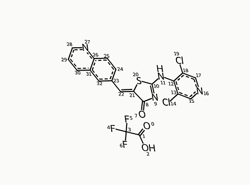 O=C(O)C(F)(F)F.O=C1N=C(Nc2c(Cl)cncc2Cl)S/C1=C\c1ccc2ncccc2c1